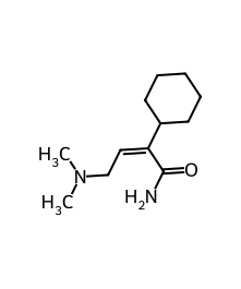 CN(C)CC=C(C(N)=O)C1CCCCC1